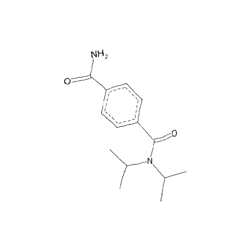 CC(C)N(C(=O)c1ccc(C(N)=O)cc1)C(C)C